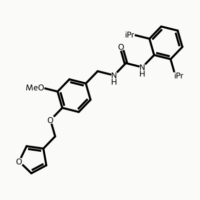 COc1cc(CNC(=O)Nc2c(C(C)C)cccc2C(C)C)ccc1OCc1ccoc1